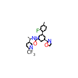 Cc1ccc(-c2cc(C(=O)N[C@H](C)c3ccc(C(F)(F)F)nc3)cc(-c3ncco3)c2)c(F)c1